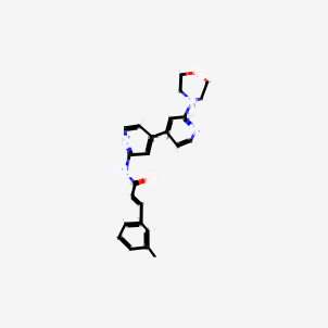 Cc1cccc(/C=C/C(=O)Nc2cc(-c3ccnc(N4CCOCC4)c3)ccn2)c1